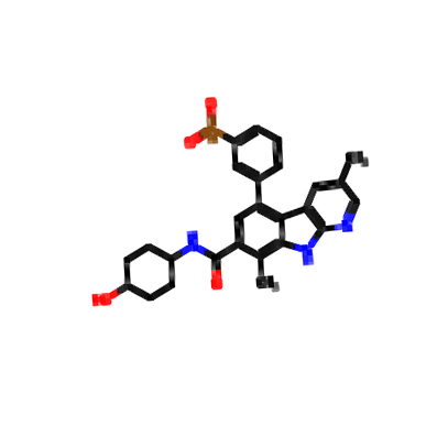 Cc1cnc2[nH]c3c(C)c(C(=O)NC4CCC(O)CC4)cc(-c4cccc([SH](=O)=O)c4)c3c2c1